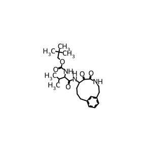 CC(C)C(NC(=O)OCC(C)(C)C)C(=O)NC1CCCc2cccc(c2)CCNC(=O)C1=O